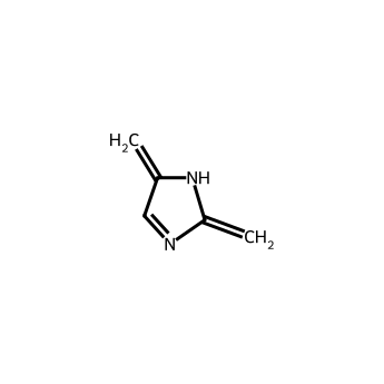 C=c1cnc(=C)[nH]1